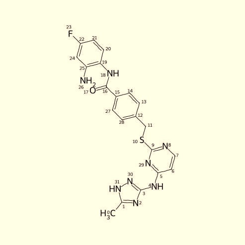 Cc1nc(Nc2ccnc(SCc3ccc(C(=O)Nc4ccc(F)cc4N)cc3)n2)n[nH]1